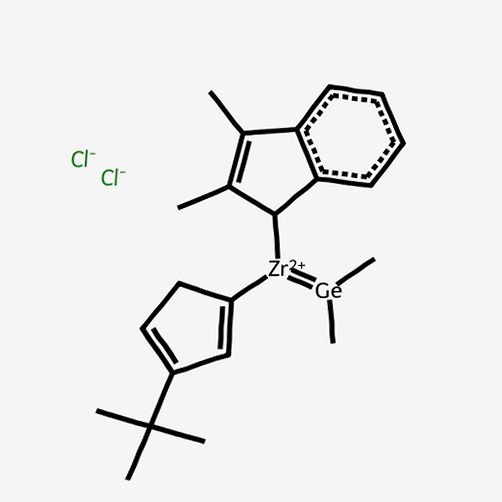 CC1=C(C)[CH]([Zr+2]([C]2=CC(C(C)(C)C)=CC2)=[Ge]([CH3])[CH3])c2ccccc21.[Cl-].[Cl-]